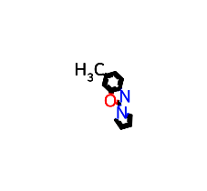 Cc1ccc2nc(-n3cccc3)oc2c1